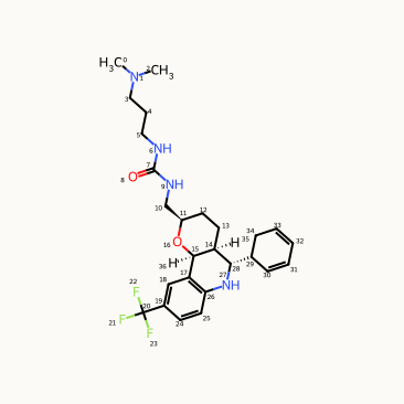 CN(C)CCCNC(=O)NC[C@H]1CC[C@@H]2[C@H](O1)c1cc(C(F)(F)F)ccc1N[C@H]2C1C=CC=CC1